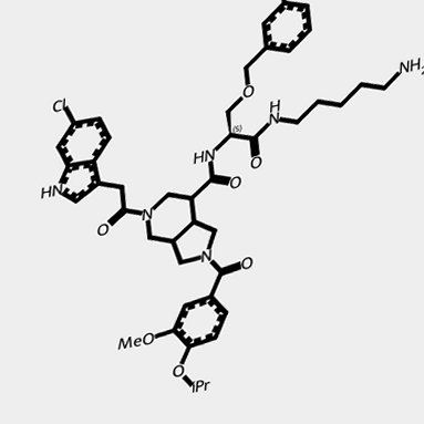 COc1cc(C(=O)N2CC3CN(C(=O)Cc4c[nH]c5cc(Cl)ccc45)CC(C(=O)N[C@@H](COCc4cccc(O)c4)C(=O)NCCCCCN)C3C2)ccc1OC(C)C